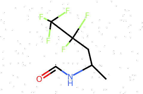 CC(CC(F)(F)C(F)(F)F)N[C]=O